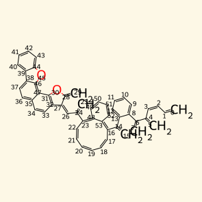 C=C/C=C\C(=C)C(=C)c1ccccc1C(=C)c1ccccccc(C(=C)/C=c2\c(=C)oc3c2ccc2ccc4c5ccccc5oc4c23)c2ccccc12